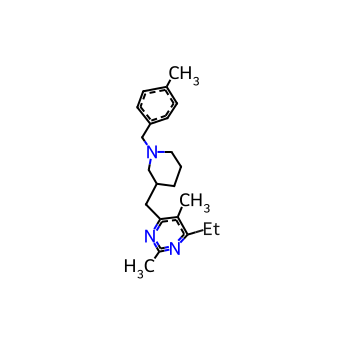 CCc1nc(C)nc(CC2CCCN(Cc3ccc(C)cc3)C2)c1C